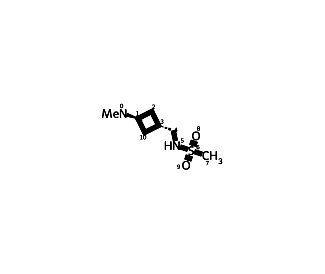 CN[C@H]1C[C@H](CNS(C)(=O)=O)C1